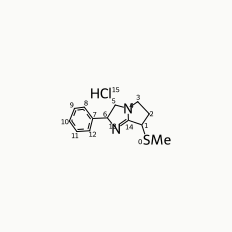 CSC1CCN2CC(c3ccccc3)N=C12.Cl